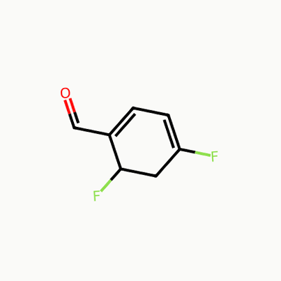 O=CC1=CC=C(F)CC1F